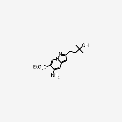 CCOC(=O)c1cn2nc(CCC(C)(C)O)cc2cc1N